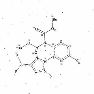 Cc1cc(C(F)F)nn1-c1nc(Cl)ccc1N(C(=O)OC(C)(C)C)C(=O)OC(C)(C)C